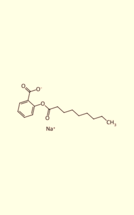 CCCCCCCCC(=O)Oc1ccccc1C(=O)[O-].[Na+]